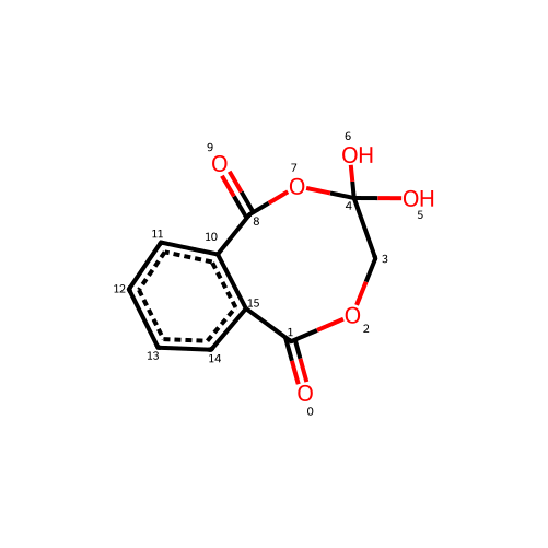 O=C1OCC(O)(O)OC(=O)c2ccccc21